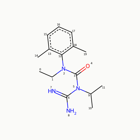 CCN(C(=O)N(C(=N)N)C(C)C)c1c(C)cccc1C